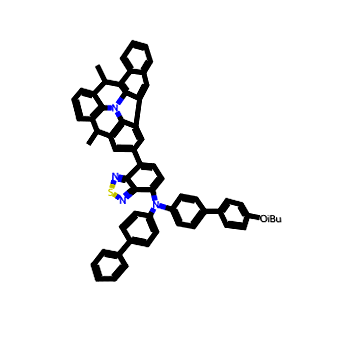 CC(C)COc1ccc(-c2ccc(N(c3ccc(-c4ccccc4)cc3)c3ccc(-c4cc5c6c(c4)c4cc7ccccc7c7c4n6-c4c(cccc4C7C)C5C)c4nsnc34)cc2)cc1